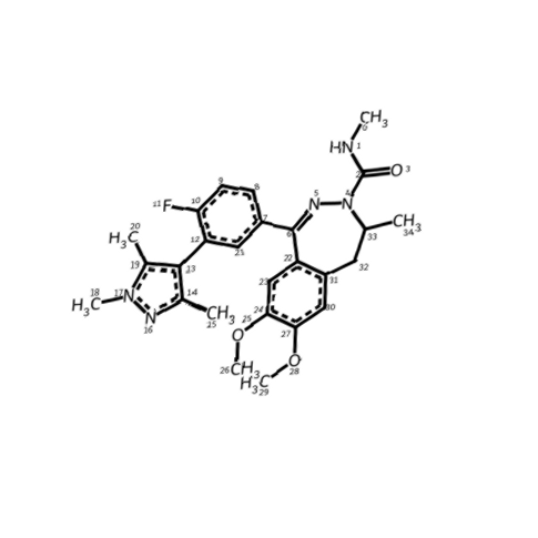 CNC(=O)N1N=C(c2ccc(F)c(-c3c(C)nn(C)c3C)c2)c2cc(OC)c(OC)cc2CC1C